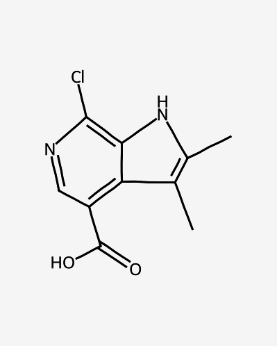 Cc1[nH]c2c(Cl)ncc(C(=O)O)c2c1C